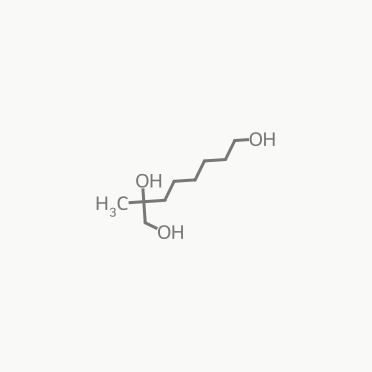 CC(O)(CO)CCCCCCO